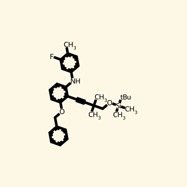 Cc1ccc(Nc2cccc(OCc3ccccc3)c2C#CC(C)(C)CO[Si](C)(C)C(C)(C)C)cc1F